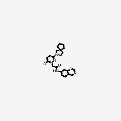 O=C(Cn1nc(N2CCC3(CCCC3)C2)ccc1=O)Nc1ccc2cncnc2c1